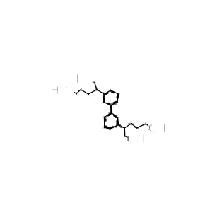 CCCCC(CC)c1cc[c]c(-c2[c]ccc(C(CC)CCCC)c2)c1